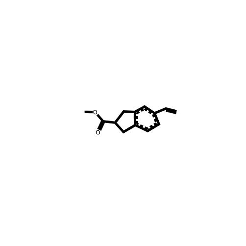 C=Cc1ccc2c(c1)CC(C(=O)OC)C2